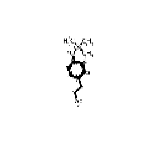 CC(=O)CCc1ccc(O[Si](C)(C)C)cc1